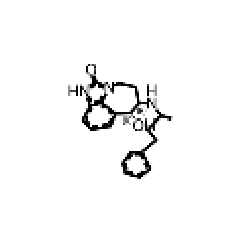 CC(CCc1ccccc1)N[C@@H]1CCn2c(=O)[nH]c3cccc(c32)[C@H]1O